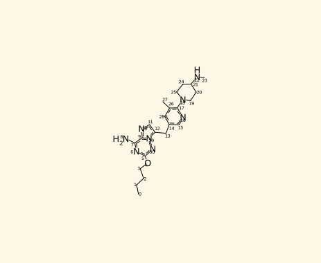 CCCCOc1nc(N)c2ncc(Cc3cnc(N4CCC(NC)CC4)c(C)c3)n2n1